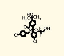 CC(C)(O)c1ccc2c(c1)C(=O)N(Cc1ccc(Cl)cc1)[C@@]2(OCC(F)(F)CO)c1ccc(Cl)cc1